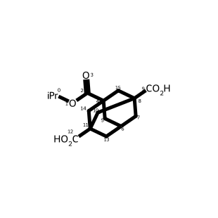 CC(C)OC(=O)C12CC3CC(C(=O)O)(CC(C(=O)O)(C3)C1)C2